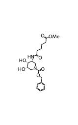 COC(=O)CCCCC(=O)N[C@H]1CN(C(=O)OCc2ccccc2)C[C@H](O)[C@@H]1O